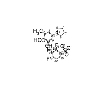 Cc1cc([S+]2CCCC2)cc(C)c1O.O=S(=O)([O-])c1ccc(F)c(F)c1F